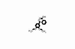 CCOc1ccc(C(=O)[C@H]2CC=CC[C@H]2C(=O)O)cc1OCC